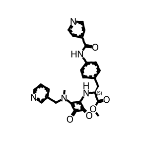 COC(=O)[C@H](Cc1ccc(NC(=O)c2ccncc2)cc1)Nc1c(N(C)Cc2cccnc2)c(=O)c1=O